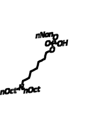 CCCCCCCCCOP(=O)(O)OCCCCCCCN(CCCCCCCC)CCCCCCCC